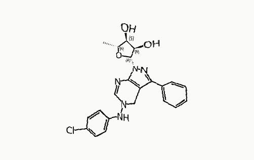 C[C@H]1O[C@@H](n2nc(-c3ccccc3)c3c2N=CN(Nc2ccc(Cl)cc2)C3)[C@H](O)[C@@H]1O